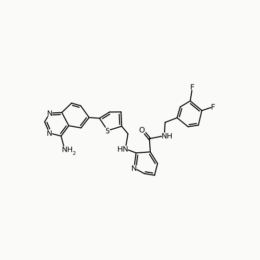 Nc1ncnc2ccc(-c3ccc(CNc4ncccc4C(=O)NCc4ccc(F)c(F)c4)s3)cc12